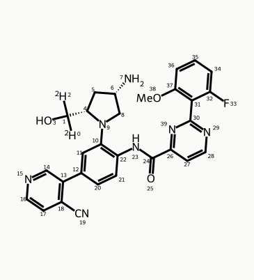 [2H]C([2H])(O)[C@@H]1C[C@H](N)CN1c1cc(-c2cnccc2C#N)ccc1NC(=O)c1ccnc(-c2c(F)cccc2OC)n1